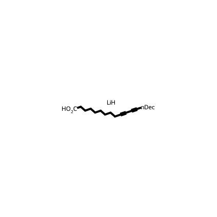 CCCCCCCCCCC#CC#CCCCCCCCCC(=O)O.[LiH]